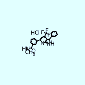 CNC(=O)c1cccc(-c2cc(C(F)(F)F)c3c(-c4ccccc4)n[nH]c3n2)c1.Cl